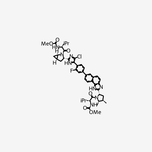 COC(=O)N[C@H](C(=O)N1[C@H](C)[C@H](C)C[C@H]1c1nc2ccc3cc(-c4ccc(-c5[nH]c([C@@H]6C[C@H]7C[C@H]7N6C(=O)[C@@H](NC(=O)OC)C(C)C)nc5Cl)c(F)c4)ccc3c2[nH]1)C(C)C